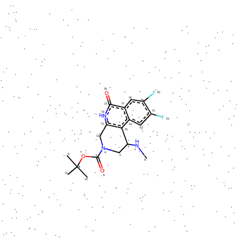 CNC1CN(C(=O)OC(C)(C)C)Cc2[nH]c(=O)c3cc(F)c(F)cc3c21